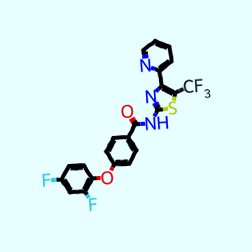 O=C(Nc1nc(-c2ccccn2)c(C(F)(F)F)s1)c1ccc(Oc2ccc(F)cc2F)cc1